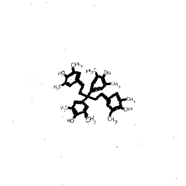 Cc1cc(CCC(CCc2cc(C)c(O)c(C)c2)(c2cc(C)c(O)c(C)c2)c2cc(C)c(O)c(C)c2)cc(C)c1O